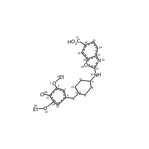 CCOc1cc(CN2CCC(Nc3nc4ccc(C(=O)O)cc4o3)CC2)cc(OCC)c1Cl